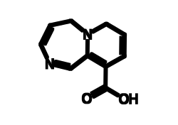 O=C(O)C1=C2C=NC=CCN2CC=C1